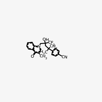 Cc1cn(CC(O)(CC(C)(C)c2ccc(C#N)cc2)C(F)(F)F)c2ccccc2c1=O